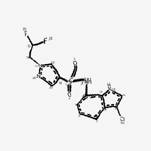 O=S(=O)(Nc1cccc2c(Cl)c[nH]c12)c1cnn(CC(F)F)c1